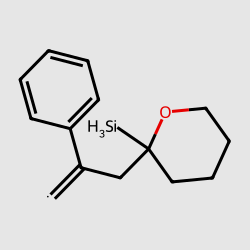 [CH]=C(CC1([SiH3])CCCCO1)c1ccccc1